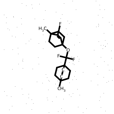 CC12CCC(C(F)(F)OC34C=C(F)C(C)(CC3)CC4)(CC1)CC2